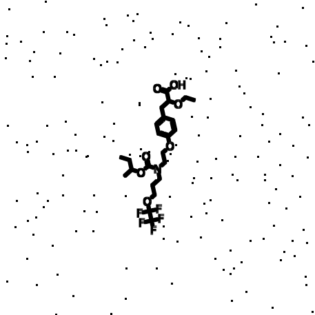 CCOC(Cc1ccc(OCCN(CCCOC(F)(F)C(F)(F)F)C(=O)OC(C)CC)cc1)C(=O)O